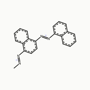 C/N=N/c1ccc(/N=N/c2cccc3ccccc23)c2ccccc12